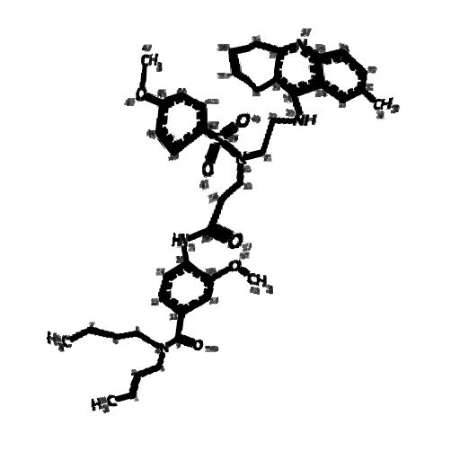 CCCCN(CCCC)C(=O)c1ccc(NC(=O)CCN(CCNc2c3c(nc4ccc(C)cc24)CCCC3)S(=O)(=O)c2ccc(OC)cc2)c(OC)c1